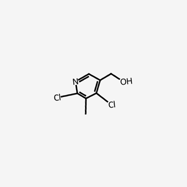 Cc1c(Cl)ncc(CO)c1Cl